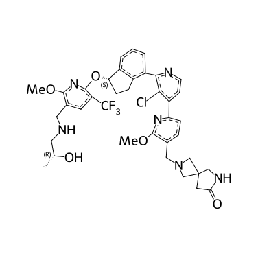 COc1nc(-c2ccnc(-c3cccc4c3CC[C@@H]4Oc3nc(OC)c(CNC[C@@H](C)O)cc3C(F)(F)F)c2Cl)ccc1CN1CC2(CNC(=O)C2)C1